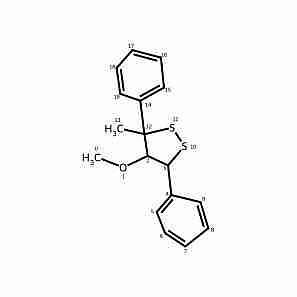 COC1C(c2ccccc2)SSC1(C)c1ccccc1